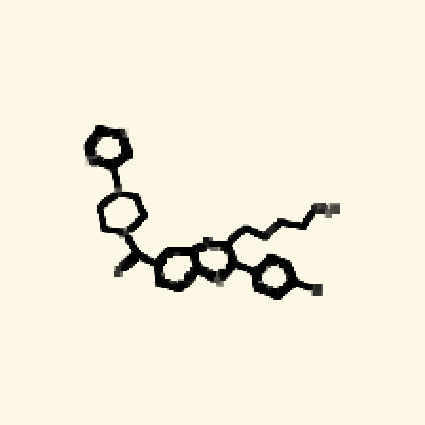 O=C(O)CCCCc1nc2cc(C(=O)N3CCN(c4cnccn4)CC3)ccc2nc1-c1ccc(Cl)cc1